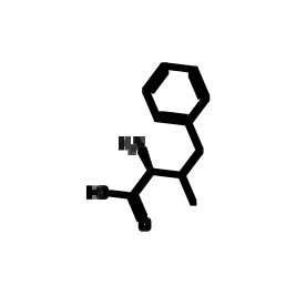 CC(Cc1ccccc1)[C@H](N)C(=O)O